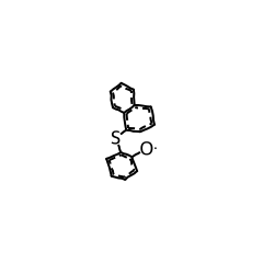 [O]c1ccccc1Sc1cccc2ccccc12